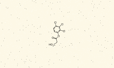 O=C(O)CC(=O)Oc1ccc(Cl)c(Cl)c1Cl